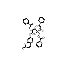 C[C@]1(COC(=O)c2ccccc2)O[C@H](Oc2ccc3ccc(=O)oc3c2)[C@H](OC(=O)c2ccccc2)[C@@H]1OC(=O)c1ccccc1